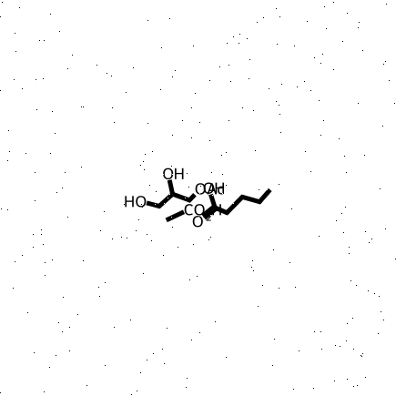 CC(=O)O.CC(=O)OCC(O)CO.CCCCC(=O)O